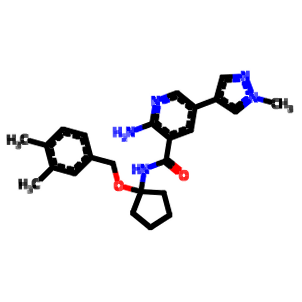 Cc1ccc(COC2(NC(=O)c3cc(-c4cnn(C)c4)cnc3N)CCCC2)cc1C